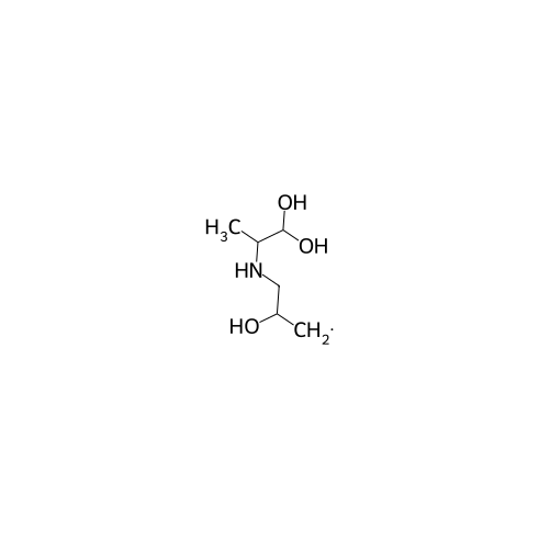 [CH2]C(O)CNC(C)C(O)O